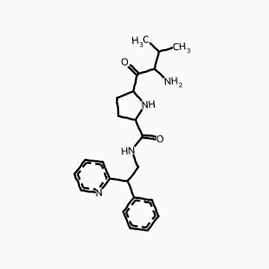 CC(C)C(N)C(=O)C1CCC(C(=O)NCC(c2ccccc2)c2ccccn2)N1